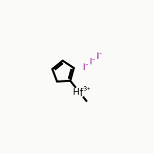 [CH3][Hf+3][C]1=CC=CC1.[I-].[I-].[I-]